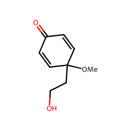 COC1(CCO)C=CC(=O)C=C1